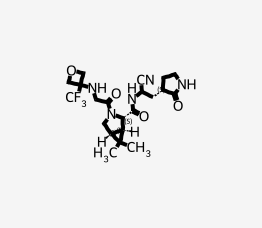 CC1(C)[C@@H]2[C@@H](C(=O)NC(C#N)C[C@@H]3CCNC3=O)N(C(=O)CNC3(C(F)(F)F)COC3)C[C@@H]21